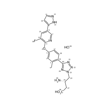 Cc1cc(Oc2ncc(-c3ccn[nH]3)cc2F)ccc1-c1nnn(C[C@@H](N)CC(=O)O)n1.Cl